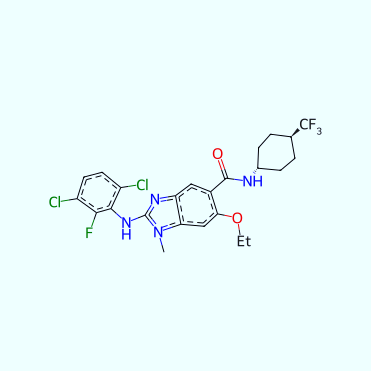 CCOc1cc2c(cc1C(=O)N[C@H]1CC[C@H](C(F)(F)F)CC1)nc(Nc1c(Cl)ccc(Cl)c1F)n2C